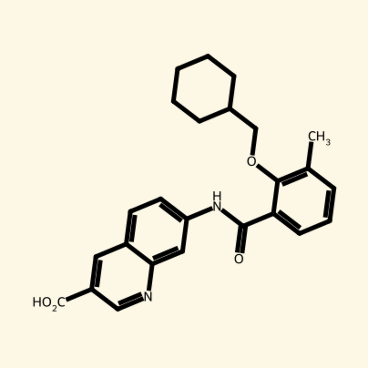 Cc1cccc(C(=O)Nc2ccc3cc(C(=O)O)cnc3c2)c1OCC1CCCCC1